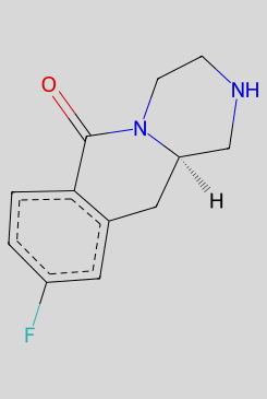 O=C1c2ccc(F)cc2C[C@@H]2CNCCN12